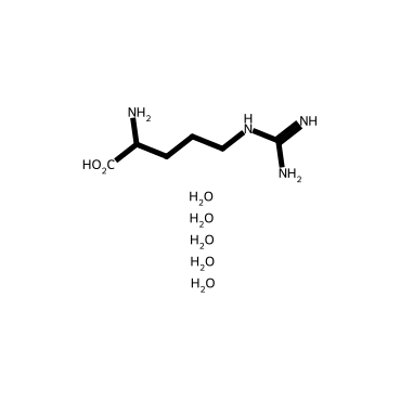 N=C(N)NCCCC(N)C(=O)O.O.O.O.O.O